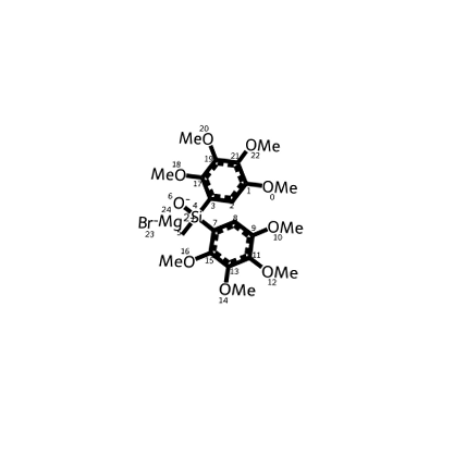 COc1cc([Si](C)([O-])c2cc(OC)c(OC)c(OC)c2OC)c(OC)c(OC)c1OC.[Br-].[Mg+2]